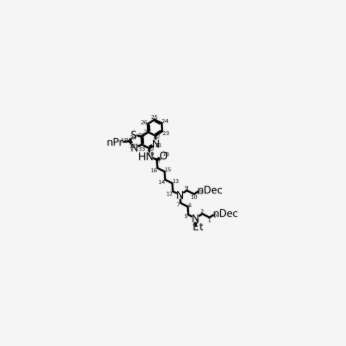 CCCCCCCCCCCCN(CC)CCCN(CCCCCCCCCCCC)CCCCCC(=O)Nc1nc2ccccc2c2sc(CCC)nc12